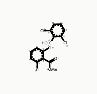 COC(=O)c1c(Cl)cccc1Cl.O=C(O)c1c(Cl)cccc1Cl